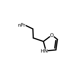 CCCCCC1NC=CO1